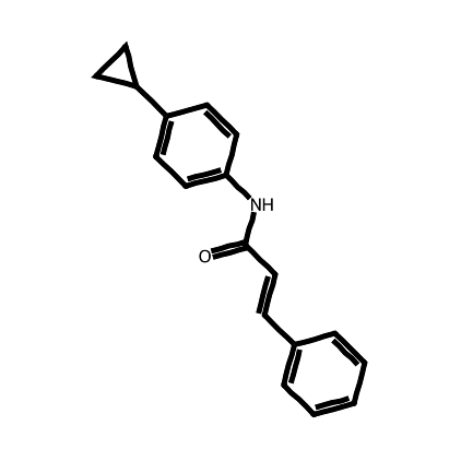 O=C(C=Cc1ccccc1)Nc1ccc(C2CC2)cc1